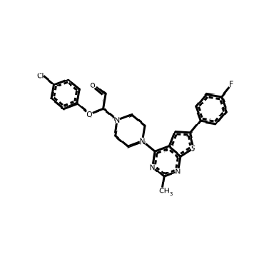 Cc1nc(N2CCN(C(C=O)Oc3ccc(Cl)cc3)CC2)c2cc(-c3ccc(F)cc3)sc2n1